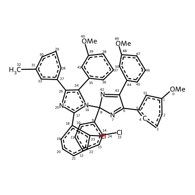 COc1cccc(C2=NC(c3ccccc3Cl)(n3c(-c4ccccc4Cl)nc(-c4cccc(C)c4)c3-c3cccc(OC)c3)N=C2c2cccc(OC)c2)c1